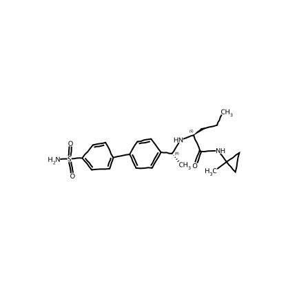 CCC[C@H](N[C@H](C)c1ccc(-c2ccc(S(N)(=O)=O)cc2)cc1)C(=O)NC1(C)CC1